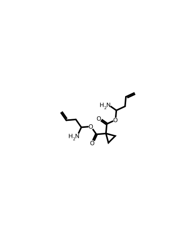 C=CCC(N)OC(=O)C1(C(=O)OC(N)CC=C)CC1